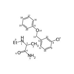 CCNC(C)C(N)=O.Clc1cccc(COc2ccccc2)c1